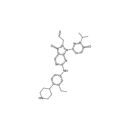 C=CCn1c(=O)c2cnc(Nc3ccc(C4CCNCC4)c(CC)c3)nc2n1-c1ccc(=O)n(C(C)C)n1